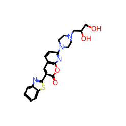 O=c1oc2nc(N3CCN(CC(O)CO)CC3)ccc2cc1-c1nc2ccccc2s1